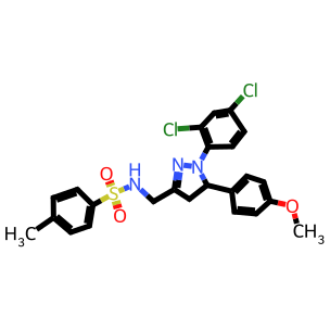 COc1ccc(C2CC(CNS(=O)(=O)c3ccc(C)cc3)=NN2c2ccc(Cl)cc2Cl)cc1